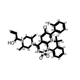 C=CC(O)N1CC(C)N(C2=NS(=O)(=O)N(c3ccccc3C(C)(C)C)c3nc(-c4ccccc4F)c(Cl)cc32)CC1C